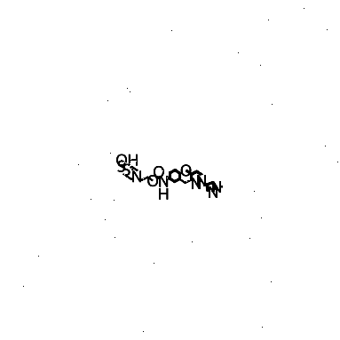 Cn1cc(-n2ccc(=O)c(Cc3cccc(NC(=O)OCCN4CC[S](SO)CC4)c3)n2)cn1